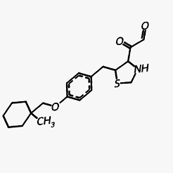 CC1(COc2ccc(CC3SCNC3C(=O)C=O)cc2)CCCCC1